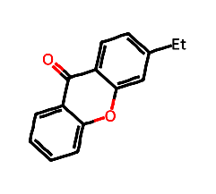 CCc1ccc2c(=O)c3ccccc3oc2c1